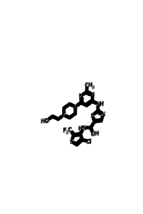 Cc1nc(Nc2ncc(C(O)Nc3c(Cl)csc3C(F)(F)F)s2)cc(N2CCN(CCO)CC2)n1